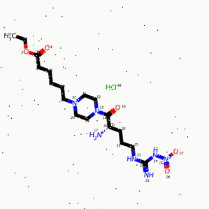 CCOC(=O)CCCCCN1CCN(C(=O)[C@@H](N)CCCNC(=N)N[N+](=O)[O-])CC1.Cl